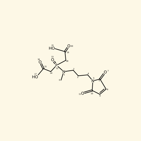 CN(CCCN1C(=O)C=CC1=O)P(=O)(CC(=O)O)CC(=O)O